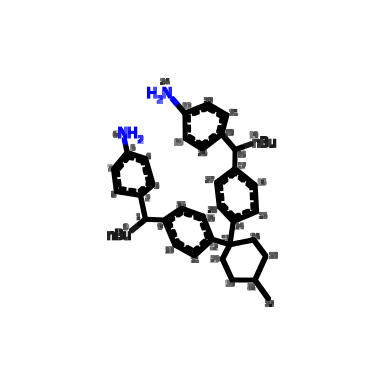 CCCCC(c1ccc(N)cc1)c1ccc(C2(c3ccc(C(CCCC)c4ccc(N)cc4)cc3)CCC(C)CC2)cc1